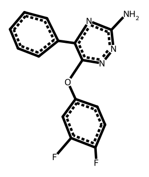 Nc1nnc(Oc2ccc(F)c(F)c2)c(-c2ccccc2)n1